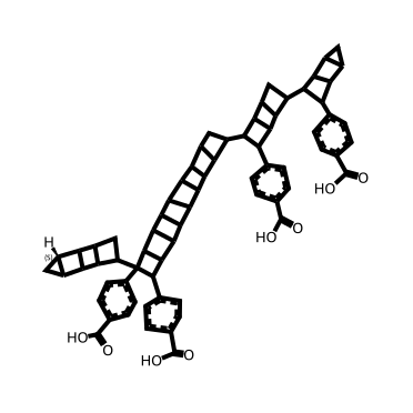 O=C(O)c1ccc(C2C3C4CC4C3C2C2CC3C2C2C(c4ccc(C(=O)O)cc4)C(C4CC5C4C4C5C5C4C4C5C5C4C4C5C5C4C(c4ccc(C(=O)O)cc4)C5(c4ccc(C(=O)O)cc4)C4CC5C4C4C6C[C@@H]6C54)C32)cc1